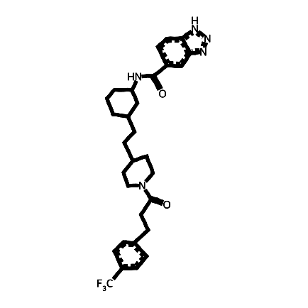 O=C(NC1CCCC(CCC2CCN(C(=O)CCc3ccc(C(F)(F)F)cc3)CC2)C1)c1ccc2[nH]nnc2c1